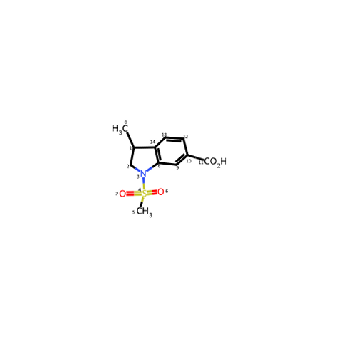 CC1CN(S(C)(=O)=O)c2cc(C(=O)O)ccc21